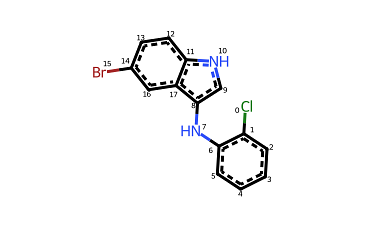 Clc1ccccc1Nc1c[nH]c2ccc(Br)cc12